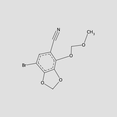 COCOc1c(C#N)cc(Br)c2c1OCO2